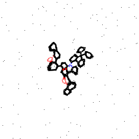 c1ccc(C2(c3ccccc3)c3ccccc3-c3c(N(c4ccc(-c5cccc6oc7c8ccccc8ccc7c56)cc4)c4ccccc4-c4cccc5oc6c7ccccc7ccc6c45)cccc32)cc1